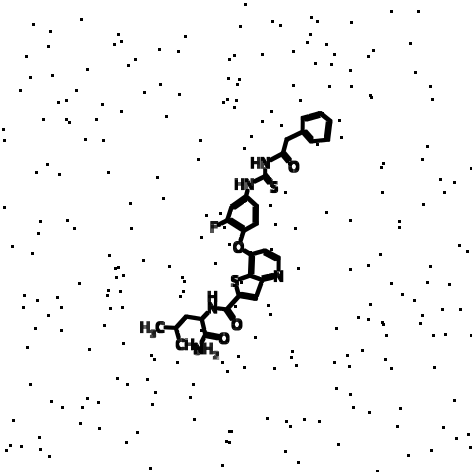 CC(C)CC(NC(=O)c1cc2nccc(Oc3ccc(NC(=S)NC(=O)Cc4ccccc4)cc3F)c2s1)C(N)=O